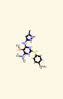 CCOc1c(Nc2cc(C)[nH]n2)nc(Sc2ccc(NC(C)=O)cc2)nc1N(CC)CC